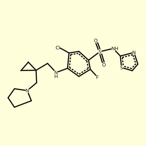 O=S(=O)(Nc1nccs1)c1cc(Cl)c(NCC2(CN3CCCC3)CC2)cc1F